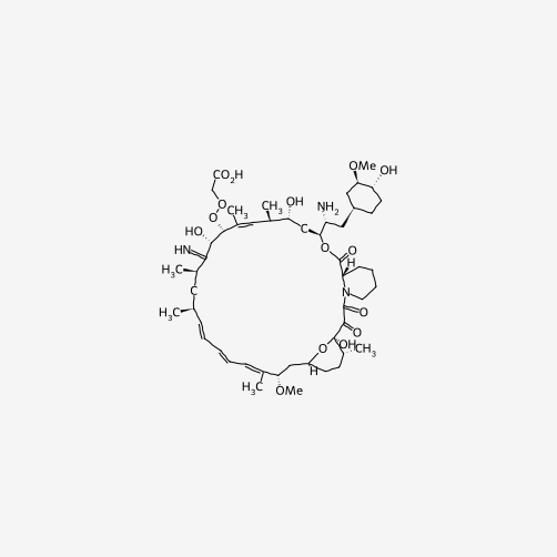 CO[C@H]1C[C@@H]2CC[C@@H](C)[C@@](O)(O2)C(=O)C(=O)N2CCCC[C@H]2C(=O)O[C@H]([C@H](N)C[C@@H]2CC[C@@H](O)[C@H](OC)C2)C[C@@H](O)[C@H](C)/C=C(\C)[C@@H](OOCC(=O)O)[C@@H](O)C(=N)[C@H](C)C[C@H](C)/C=C/C=C/C=C/1C